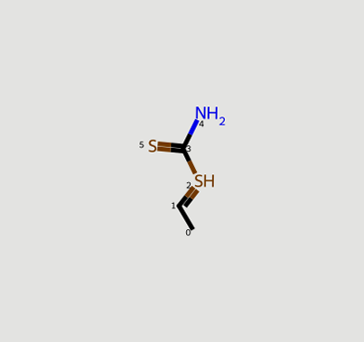 CC=[SH]C(N)=S